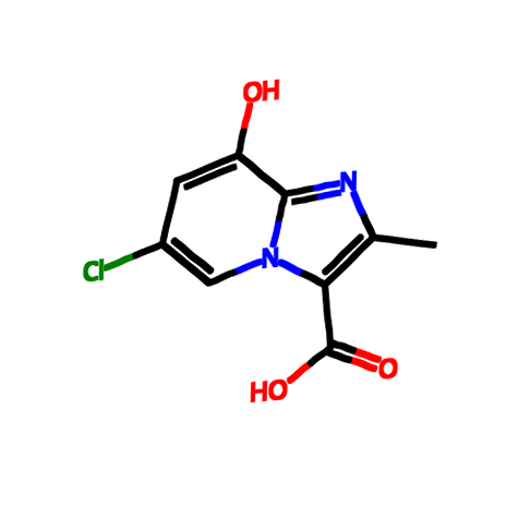 Cc1nc2c(O)cc(Cl)cn2c1C(=O)O